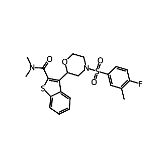 Cc1cc(S(=O)(=O)N2CCOC(c3c(C(=O)N(C)C)sc4ccccc34)C2)ccc1F